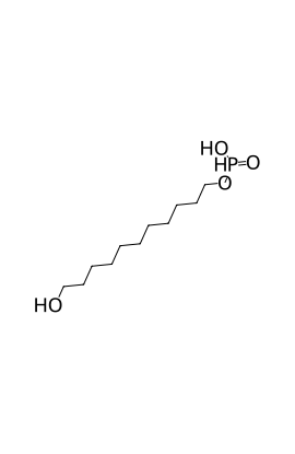 O=[PH](O)OCCCCCCCCCCCO